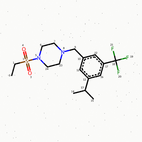 CCS(=O)(=O)N1CCN(Cc2cc(C(C)C)cc(C(F)(F)F)c2)CC1